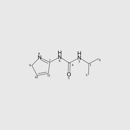 CC(C)NC(=O)NC1=NCC=C1